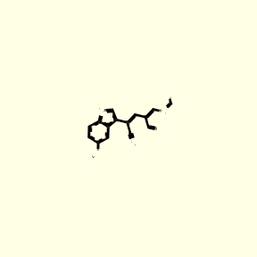 C=CC(/C=C(\C#N)c1c[nH]c2ccc(OC)cc12)=C\N=C/C